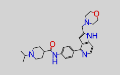 CC(C)N1CCC(C(=O)Nc2ccc(-c3nccc4[nH]c(CN5CCOCC5)cc34)cc2)CC1